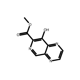 COC(=O)c1ncc2nccnc2c1O